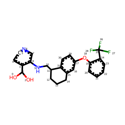 OC(O)c1ccncc1NCC1CCCc2cc(Oc3ccccc3C(F)(F)F)ccc21